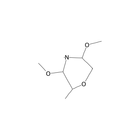 COC1COC(C)C(OC)[N]1